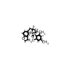 CCC(I)(Cc1ccc2c(c1)CCO2)NS(=O)(=O)c1c(C)cc(C)cc1C